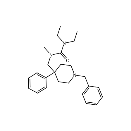 CCN(CC)C(=O)N(C)CC1(c2ccccc2)CCN(Cc2ccccc2)CC1